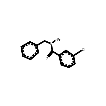 CCCN(Cc1ccccc1)C(=O)c1cccc(Cl)c1